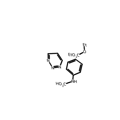 CCOC(=O)OCC.O=C(O)Nc1ccccc1.c1cnnnc1